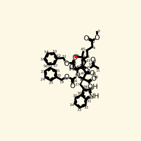 COC(=O)CCCCC(SC(C)=O)C(=O)N(C(=O)OCc1ccccc1)[C@@](Cc1c[nH]c2ccccc12)(C(=O)O)C(=O)[C@H](CC(C)C)NC(=O)OCc1ccccc1